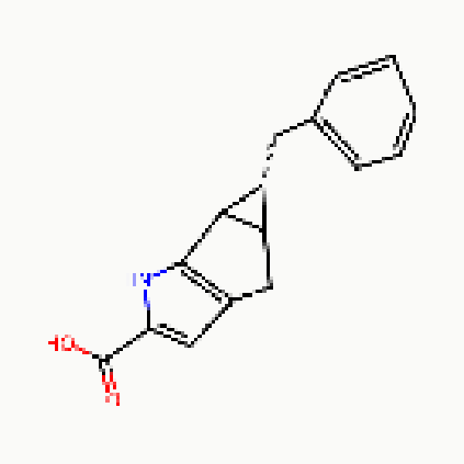 O=C(O)c1cc2c([nH]1)C1C(C2)[C@H]1Cc1ccccc1